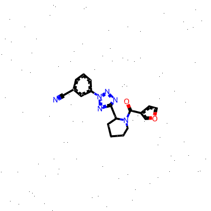 N#Cc1cccc(-n2nnc(C3CCCCN3C(=O)c3ccoc3)n2)c1